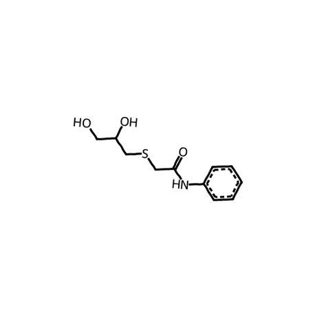 O=C(CSCC(O)CO)Nc1ccccc1